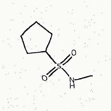 CNS(=O)(=O)C1CCCC1